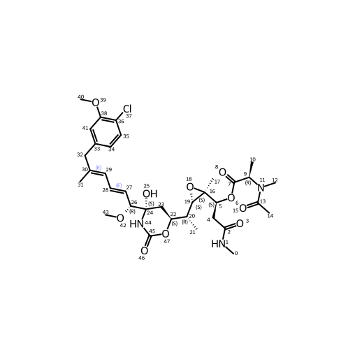 CNC(=O)C[C@H](OC(=O)[C@@H](C)N(C)C(C)=O)[C@]1(C)O[C@H]1[C@H](C)[C@@H]1C[C@](O)([C@@H](/C=C/C=C(\C)Cc2ccc(Cl)c(OC)c2)OC)NC(=O)O1